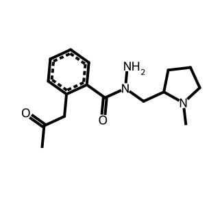 CC(=O)Cc1ccccc1C(=O)N(N)CC1CCCN1C